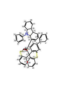 C1=CCC(c2ccc3c(c2)SC2=C(CCC=C2)C32c3cc(C4=CC=CC5C6C=CC=CC6N(c6ccccc6)C45)ccc3SC3=CC=CCC32)C=C1